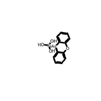 OP(O)O.c1ccc2c(c1)Oc1ccccc1[AsH]2